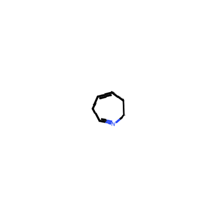 [CH]1CC=CCC=N1